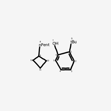 CC(C)(C)c1ccccc1O.CCCCCC1CCC1